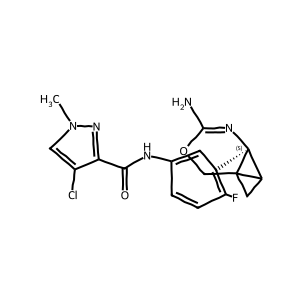 Cn1cc(Cl)c(C(=O)Nc2ccc(F)c([C@@]34N=C(N)OCC35CC54)c2)n1